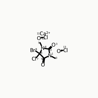 CN1C(=O)N(C)C(Cl)(Br)C1=O.[Ca+2].[O-]Cl.[O-]Cl